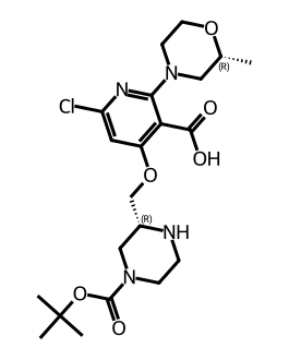 C[C@@H]1CN(c2nc(Cl)cc(OC[C@H]3CN(C(=O)OC(C)(C)C)CCN3)c2C(=O)O)CCO1